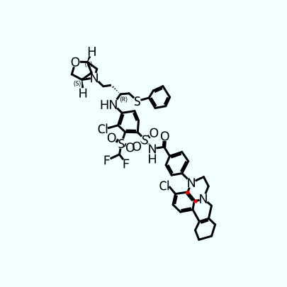 O=C(NS(=O)(=O)c1ccc(N[C@H](CCN2C[C@@H]3C[C@H]2CO3)CSc2ccccc2)c(Cl)c1S(=O)(=O)C(F)F)c1ccc(N2CCN(CC3=C(c4ccc(Cl)cc4)CCCC3)CC2)cc1